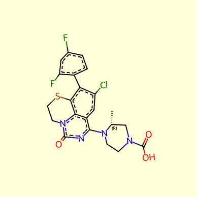 C[C@@H]1CN(C(=O)O)CCN1c1nc(=O)n2c3c(c(-c4ccc(F)cc4F)c(Cl)cc13)SCC2